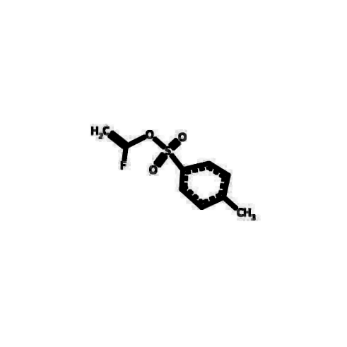 C=C(F)OS(=O)(=O)c1ccc(C)cc1